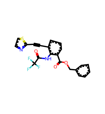 O=C(OCc1ccccc1)c1cccc(C#Cc2nccs2)c1NC(=O)C(F)(F)F